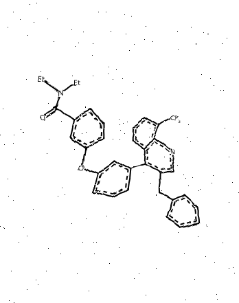 CCN(CC)C(=O)c1cccc(Oc2cccc(-c3c(Cc4ccccc4)cnc4c(C(F)(F)F)cccc34)c2)c1